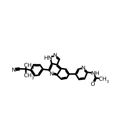 CC(=O)Nc1ccc(-c2ccc3nc(-c4ccc(C(C)(C)C#N)cc4)c4[nH]ncc4c3c2)cn1